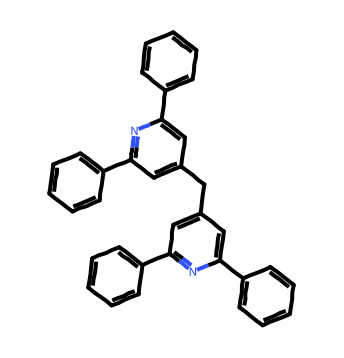 c1ccc(-c2cc(Cc3cc(-c4ccccc4)nc(-c4ccccc4)c3)cc(-c3ccccc3)n2)cc1